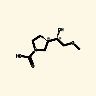 COC[C@@H](O)[C@H]1CCN(C(=O)O)C1